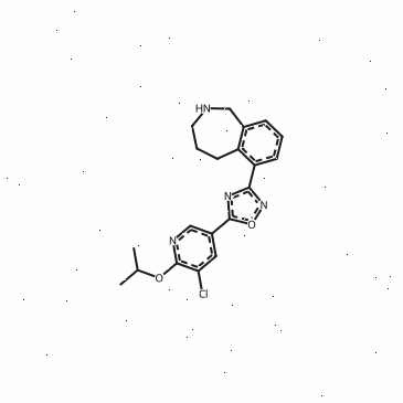 CC(C)Oc1ncc(-c2nc(-c3cccc4c3CCCNC4)no2)cc1Cl